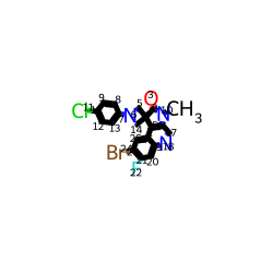 CN1C(=O)C2(CN(c3ccc(Cl)cc3)C2)c2c1cnc1cc(F)c(Br)cc21